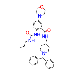 CCCNC(=O)Nc1ccc(N2CCOCC2)cc1C(=O)NCC1CCN(C(c2ccccc2)c2ccccc2)CC1